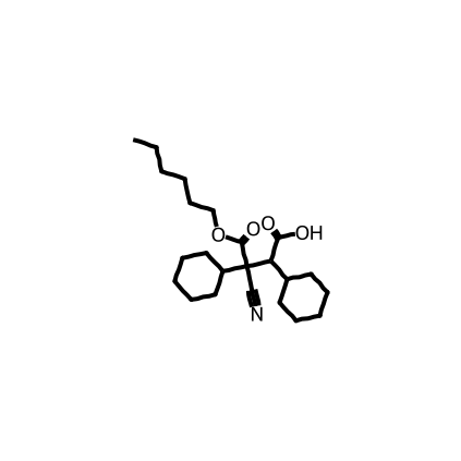 CCCCCCOC(=O)C(C#N)(C1CCCCC1)C(C(=O)O)C1CCCCC1